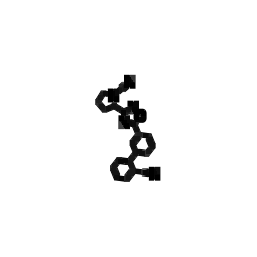 N#Cc1ccccc1-c1cccc(-c2nc(C3CCCN3C#N)no2)c1